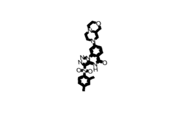 Cc1ccc(S(=O)(=O)c2nnn3c2[nH]c(=O)c2ccc(N4CCN5CCOCC5C4)cc23)c(C)c1